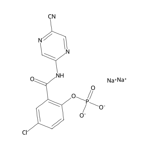 N#Cc1cnc(NC(=O)c2cc(Cl)ccc2OP(=O)([O-])[O-])cn1.[Na+].[Na+]